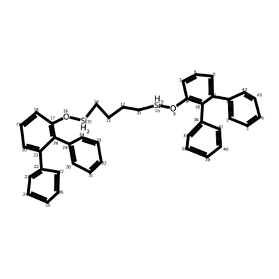 c1ccc(-c2cccc(O[SiH2]CCCC[SiH2]Oc3cccc(-c4ccccc4)c3-c3ccccc3)c2-c2ccccc2)cc1